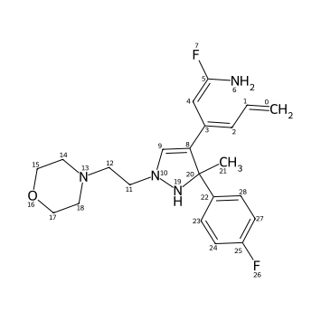 C=C/C=C(\C=C(/N)F)C1=CN(CCN2CCOCC2)NC1(C)c1ccc(F)cc1